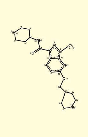 Cn1nc(C(=O)NC2CCNCC2)c2ccc(OCC3CCNCC3)nc21